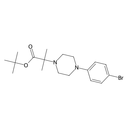 CC(C)(C)OC(=O)C(C)(C)N1CCN(c2ccc(Br)cc2)CC1